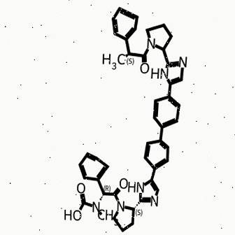 C[C@H](C(=O)N1CCCC1c1ncc(-c2ccc(-c3ccc(-c4cnc([C@@H]5CCCN5C(=O)[C@@H](c5ccccc5)N(C)C(=O)O)[nH]4)cc3)cc2)[nH]1)c1ccccc1